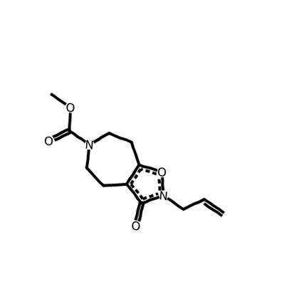 C=CCn1oc2c(c1=O)CCN(C(=O)OC)CC2